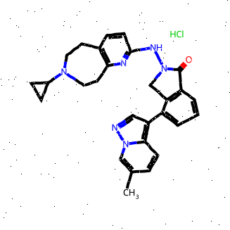 Cc1ccc2c(-c3cccc4c3CN(Nc3ccc5c(n3)CCN(C3CC3)CC5)C4=O)cnn2c1.Cl